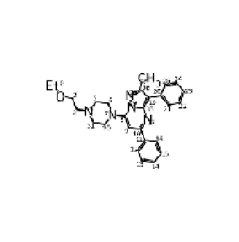 CCOCCN1CCN(c2cc(-c3ccccc3)nc3c(-c4ccccc4)c(C)nn23)CC1